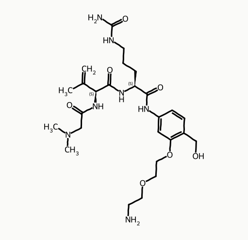 C=C(C)[C@H](NC(=O)CN(C)C)C(=O)N[C@@H](CCCNC(N)=O)C(=O)Nc1ccc(CO)c(OCCOCCN)c1